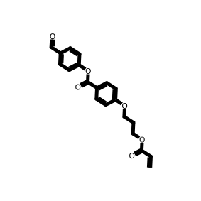 C=CC(=O)OCCCOc1ccc(C(=O)Oc2ccc(C=O)cc2)cc1